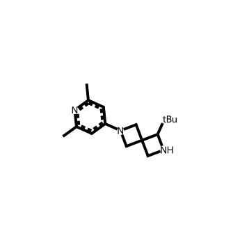 Cc1cc(N2CC3(CNC3C(C)(C)C)C2)cc(C)n1